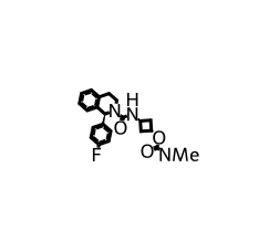 CNC(=O)O[C@H]1C[C@@H](NC(=O)N2CCc3ccccc3[C@@H]2c2ccc(F)cc2)C1